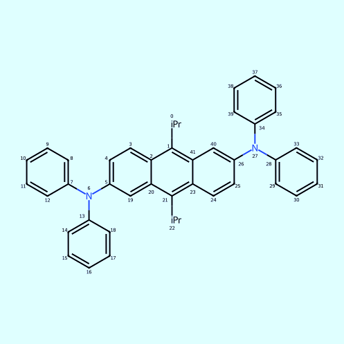 CC(C)c1c2ccc(N(c3ccccc3)c3ccccc3)cc2c(C(C)C)c2ccc(N(c3ccccc3)c3ccccc3)cc12